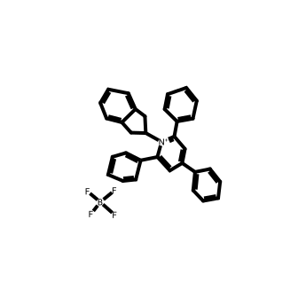 F[B-](F)(F)F.c1ccc(-c2cc(-c3ccccc3)[n+](C3Cc4ccccc4C3)c(-c3ccccc3)c2)cc1